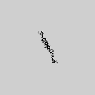 CCCCCCCC1CCC(c2ccc(-c3ccc([C@H]4SC[C@H](CCCCC)CS4)cc3)c(F)c2)CC1